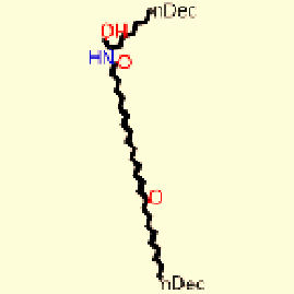 CCCCCCCCCCCCCCCCCCCC(=O)CCCCCCCCCCCCCCCC(=O)NC(CO)CCCCCCCCCCCCCCCC